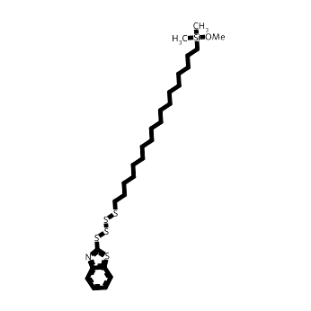 CO[Si](C)(C)CCCCCCCCCCCCCCCCCCSSSSc1nc2ccccc2s1